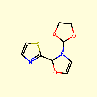 C1=CN(C2OCCO2)C(c2nccs2)O1